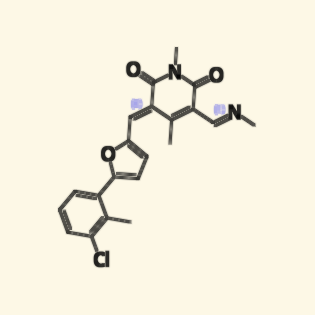 C/N=C/C1=C(C)C(=C\c2ccc(-c3cccc(Cl)c3C)o2)/C(=O)N(C)C1=O